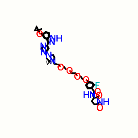 C[C@H]1CN(c2cc(-c3n[nH]c4ccc(OC5(C)CC5)cc34)ncn2)CCN1CCOCCOCCOCCOc1ccc(C(=O)NC2CCC(=O)NC2=O)c(F)c1